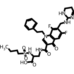 CCCCS(=O)(=O)NC(CNC(=O)c1cn(CCc2ccccc2)c2c(F)c(CNC3N=CCCN3)c(F)cc2c1=O)C(=O)O